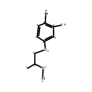 CCOC(C)COc1ccc(Br)c(F)c1